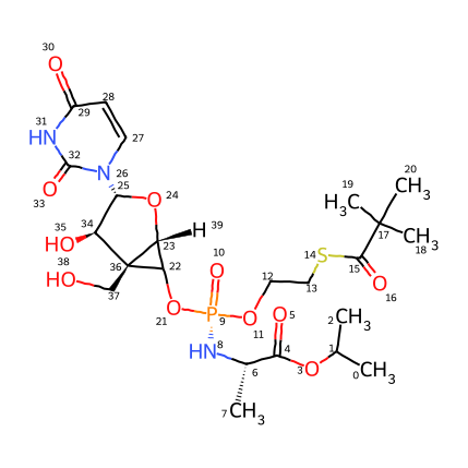 CC(C)OC(=O)[C@H](C)N[P@](=O)(OCCSC(=O)C(C)(C)C)OC1[C@H]2O[C@@H](n3ccc(=O)[nH]c3=O)[C@H](O)[C@@]12CO